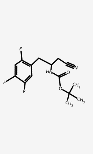 CC(C)(C)OC(=O)NC(CC#N)Cc1cc(F)c(F)cc1F